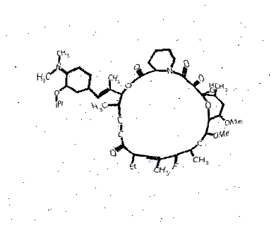 CCC1/C=C(\C)C(F)C(C)CC(OC)C2OC(O)(C(=O)C(=O)N3CCCCC3C(=O)OC(C(C)=CC3CCC(N(C)C)C(OC(C)C)C3)C(C)CCC1=O)C(C)CC2OC